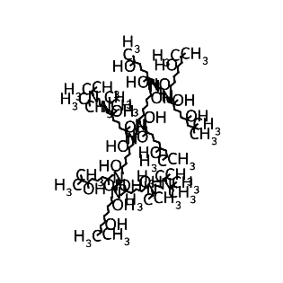 CCC(O)CCCC(O)CN(CCN(CC(O)CCCC(O)CC(C)C)CC(O)CCCC(O)CC(C)C)CC(O)CCCC(O)CN(CCN(CC(O)CCCC(O)CN(CCN(CC(O)CCCC(O)CC(C)C)CC(O)CCCC(O)N(CCN(C(C)C)C(C)C)C(C)C)CC(O)CCCC(O)C(C)C)CC(O)CCCC(O)CN(CCN(C(C)C)C(C)C)C(C)C)CC(O)CCCC(O)CC(C)C